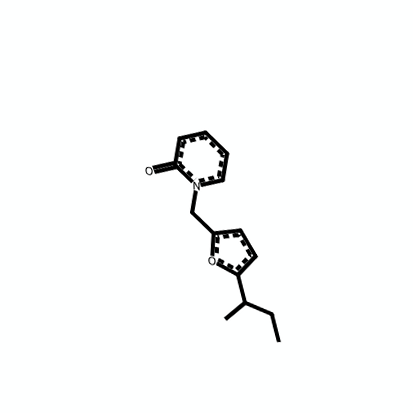 CCC(C)c1ccc(Cn2ccccc2=O)o1